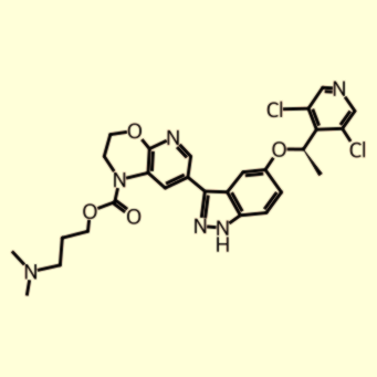 C[C@@H](Oc1ccc2[nH]nc(-c3cnc4c(c3)N(C(=O)OCCCN(C)C)CCO4)c2c1)c1c(Cl)cncc1Cl